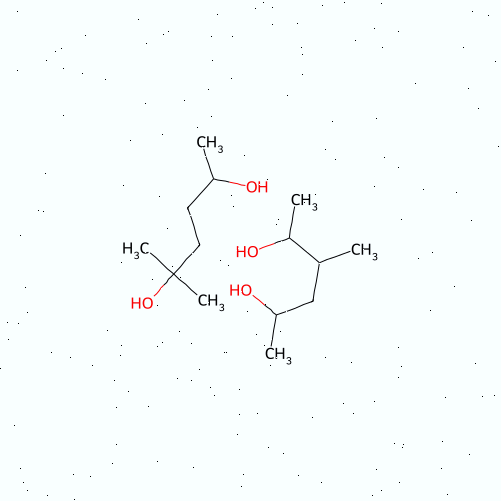 CC(O)CC(C)C(C)O.CC(O)CCC(C)(C)O